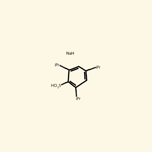 CC(C)c1cc(C(C)C)c(S(=O)(=O)O)c(C(C)C)c1.[NaH]